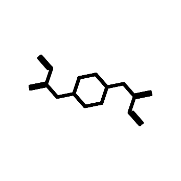 C=CC(=C)CC1CCC(CC(=C)C=C)CC1